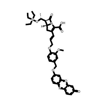 CC[Si](CC)(CC)O[C@H](C)[C@H]1C(=O)N2C(C(=O)O)=C(/C=C/COc3ccc(COc4ccc5nc6ccc(=O)cc-6oc5c4)cc3OC)C[C@H]12